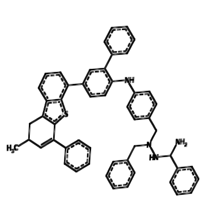 CC1C=C(c2ccccc2)c2sc3c(-c4ccc(Nc5ccc(CN(Cc6ccccc6)NC(N)c6ccccc6)cc5)c(-c5ccccc5)c4)cccc3c2C1